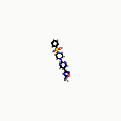 O=S(=O)(c1ccccc1)N1CCN(c2ncc(-c3noc(C(F)(F)F)n3)cn2)CC1